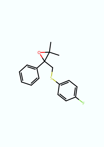 CC1(C)OC1(CSc1ccc(F)cc1)c1ccccc1